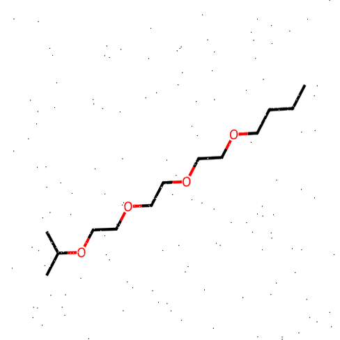 CCCCOCCOCCOCCOC(C)C